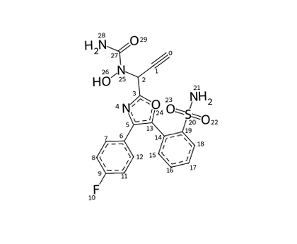 C#CC(c1nc(-c2ccc(F)cc2)c(-c2ccccc2S(N)(=O)=O)o1)N(O)C(N)=O